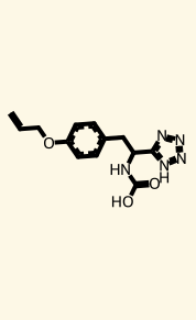 C=CCOc1ccc(CC(NC(=O)O)c2nnn[nH]2)cc1